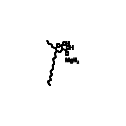 CCCCCCCCCCCCC(CCCCC)CC(C(=O)O)C(=O)O.[MgH2]